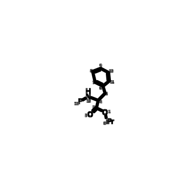 CC(C)OC(=O)C(Cc1ccccc1)NF